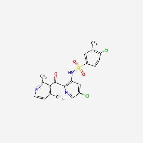 Cc1ccnc(C)c1C(=O)c1ncc(Cl)cc1NS(=O)(=O)c1ccc(Cl)c(C(F)(F)F)c1